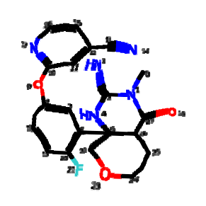 CN1C(=N)NC2(c3cc(Oc4cc(C#N)ccn4)ccc3F)COCCC2C1=O